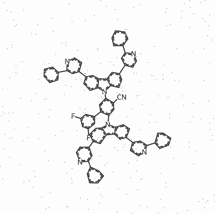 N#Cc1cc(-n2c3ccc(-c4ccnc(-c5ccccc5)c4)cc3c3cc(-c4ccnc(-c5ccccc5)c4)ccc32)c(-c2cc(F)cc(F)c2)cc1-n1c2ccc(-c3ccnc(-c4ccccc4)c3)cc2c2cc(-c3ccnc(-c4ccccc4)c3)ccc21